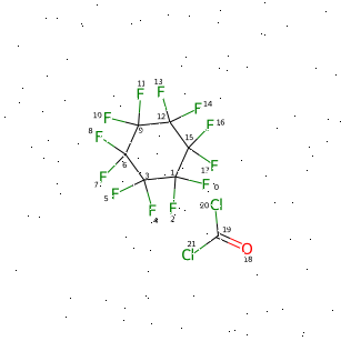 FC1(F)C(F)(F)C(F)(F)C(F)(F)C(F)(F)C1(F)F.O=C(Cl)Cl